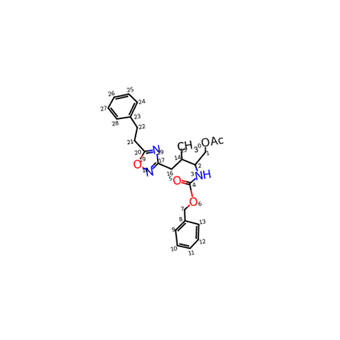 CC(=O)OCC(NC(=O)OCc1ccccc1)C(C)Cc1noc(CCc2ccccc2)n1